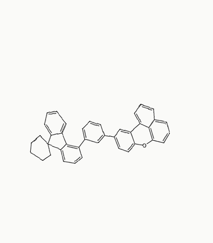 c1cc(-c2ccc3c(c2)-c2cccc4cccc(c24)O3)cc(-c2cccc3c2-c2ccccc2C32CCCCC2)c1